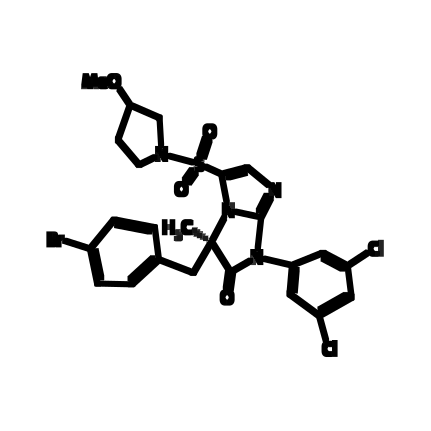 COC1CCN(S(=O)(=O)c2cnc3n2[C@](C)(Cc2ccc(Br)cc2)C(=O)N3c2cc(Cl)cc(Cl)c2)C1